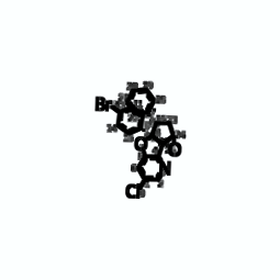 Clc1cnc2c(c1)O[C@@]1(c3ccc(Br)cc3)[C@H](c3ccccc3)CC3O[C@@]231